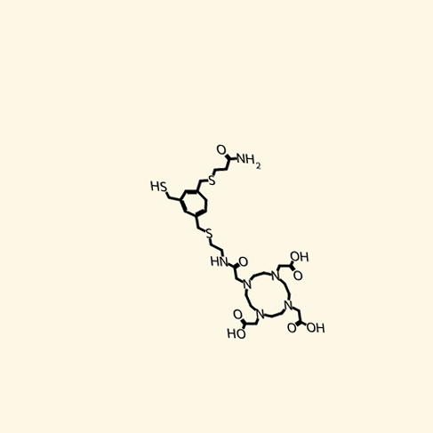 NC(=O)CCSCC1=CC(CS)=CC(CSCCNC(=O)CN2CCN(CC(=O)O)CCN(CC(=O)O)CCN(CC(=O)O)CC2)=CC1